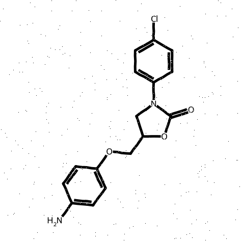 Nc1ccc(OCC2CN(c3ccc(Cl)cc3)C(=O)O2)cc1